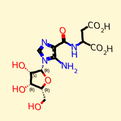 Nc1c(C(=O)NC(CC(=O)O)C(=O)O)ncn1[C@@H]1O[C@H](CO)[C@H](O)[C@@H]1O